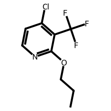 CCCOc1nccc(Cl)c1C(F)(F)F